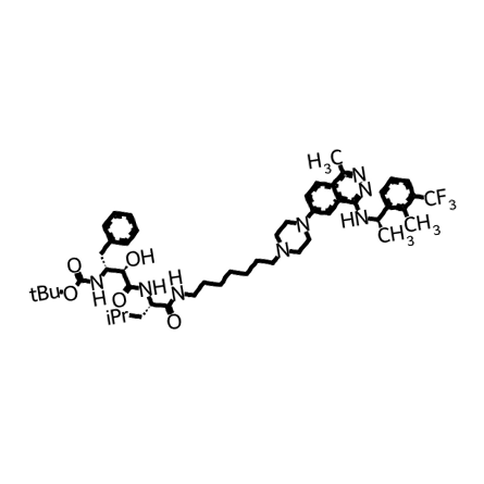 Cc1c([C@@H](C)Nc2nnc(C)c3ccc(N4CCN(CCCCCCCNC(=O)[C@H](CC(C)C)NC(=O)[C@@H](O)[C@@H](Cc5ccccc5)NC(=O)OC(C)(C)C)CC4)cc23)cccc1C(F)(F)F